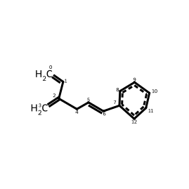 C=CC(=C)CC=Cc1ccccc1